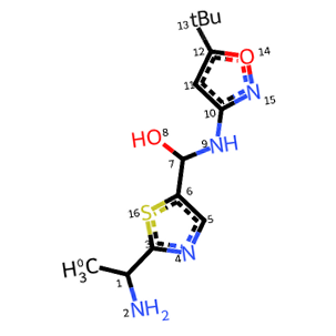 CC(N)c1ncc(C(O)Nc2cc(C(C)(C)C)on2)s1